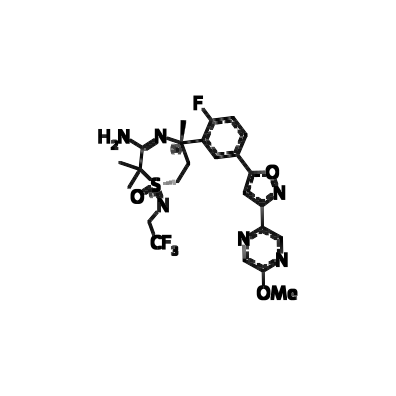 COc1cnc(-c2cc(-c3ccc(F)c([C@]4(C)CC[S@@](=O)(=NCC(F)(F)F)C(C)(C)C(N)=N4)c3)on2)cn1